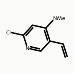 C=Cc1cnc(Cl)cc1NC